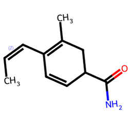 C/C=C\C1=C(C)CC(C(N)=O)C=C1